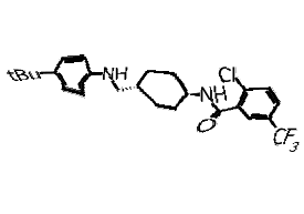 CC(C)(C)c1ccc(NC[C@H]2CC[C@H](NC(=O)c3cc(C(F)(F)F)ccc3Cl)CC2)cc1